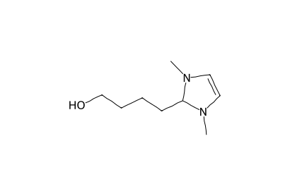 CN1C=CN(C)C1CCCCO